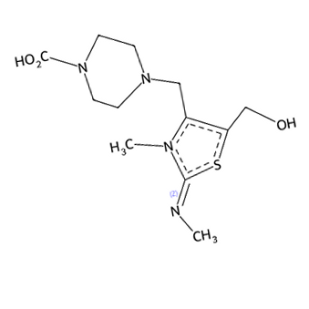 C/N=c1\sc(CO)c(CN2CCN(C(=O)O)CC2)n1C